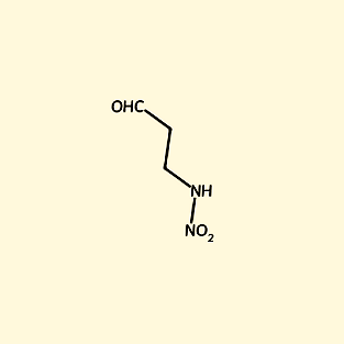 O=CCCN[N+](=O)[O-]